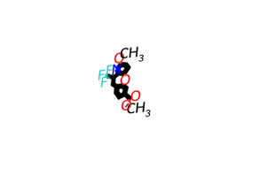 COC(=O)c1ccc2c(c1)Oc1ccc(OC)nc1C(C(F)(F)F)C2